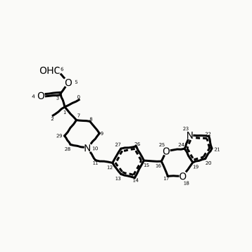 CC(C)(C(=O)OC=O)C1CCN(Cc2ccc(C3COc4cccnc4O3)cc2)CC1